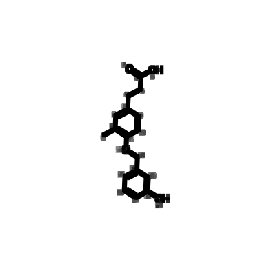 Cc1cc(CCC(=O)O)ccc1OCc1cccc(O)c1